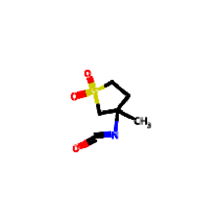 CC1(N=C=O)CCS(=O)(=O)C1